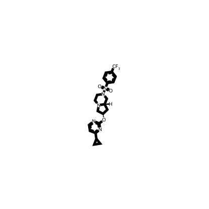 O=S(=O)(c1ccc(C(F)(F)F)cc1)N1CCN2C[C@@H](Oc3nccc(C4CC4)n3)C[C@H]2C1